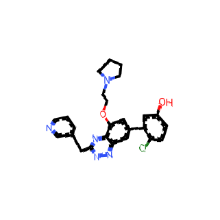 Oc1ccc(Cl)c(-c2cc(OCCN3CCCC3)c3nc(Cc4cccnc4)nnc3c2)c1